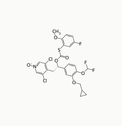 COc1ccc(F)cc1SC(=O)O[C@@H](Cc1c(Cl)c[n+]([O-])cc1Cl)c1ccc(OC(F)F)c(OCC2CC2)c1